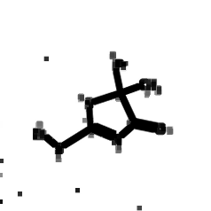 CCSC1=NC(=O)C(C)(C(C)C)S1